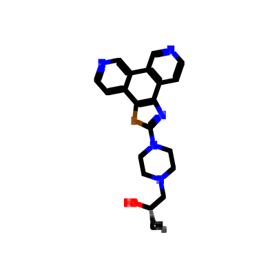 C[C@H](O)CN1CCN(c2nc3c4ccncc4c4cnccc4c3s2)CC1